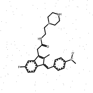 CC1=C(CC(=O)NCCN2CCNCC2)c2cc(F)ccc2C1=Cc1ccc([S+](C)[O-])cc1